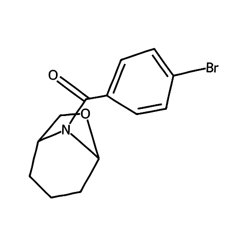 O=C(c1ccc(Br)cc1)N1C2CCCC1OC2